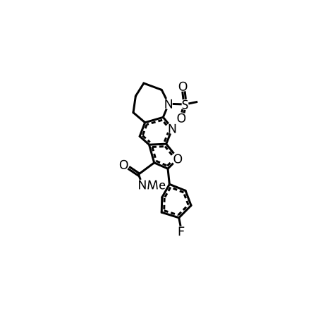 CNC(=O)c1c(-c2ccc(F)cc2)oc2nc3c(cc12)CCCCN3S(C)(=O)=O